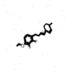 CCOc1ccc(CC/C=C/C2CCC(C)CC2)c(F)c1F